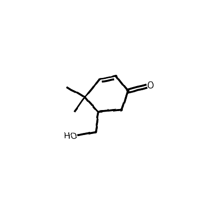 CC1(C)C=CC(=O)CC1CO